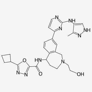 Cc1n[nH]cc1Nc1nccc(-c2ccc3c(c2)CN(CCO)CCC3NC(=O)c2nnc(C3CCC3)o2)n1